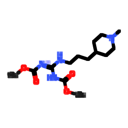 CN1CCC(CCCN/C(=N/C(=O)OC(C)(C)C)NC(=O)OC(C)(C)C)CC1